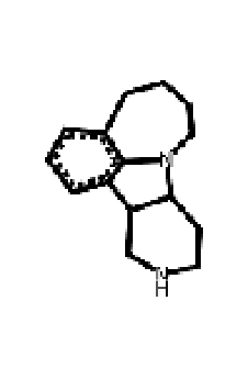 c1cc2c3c(c1)C1CNCCC1N3CCCC2